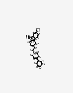 Clc1ccc2c3c([nH]c2c1)CCC(CCN1CC=C(c2ccccc2)CC1)C3